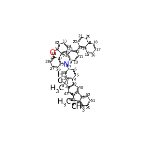 CC1(C)C2=C(C=CC(N(c3ccc(C4=C5C=CC=CC5CC=C4)cc3)c3cccc4oc5ccccc5c34)C2)c2cc3c(cc21)C(C)(C)c1ccccc1-3